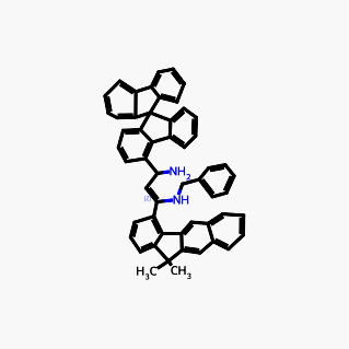 CC1(C)c2cc3ccccc3cc2-c2c(/C(=C/C(N)c3cccc4c3-c3ccccc3C43c4ccccc4-c4ccccc43)NCc3ccccc3)cccc21